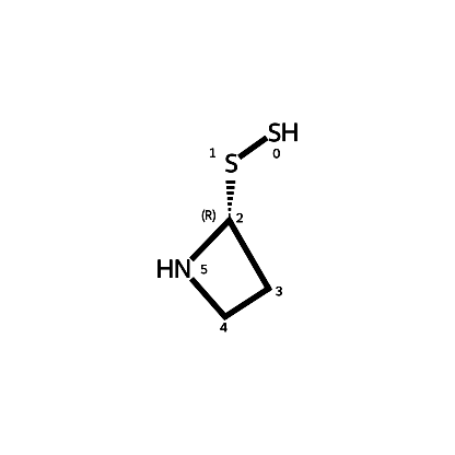 SS[C@@H]1CCN1